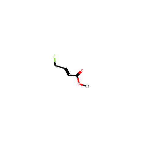 CCOC(=O)/C=C/CF